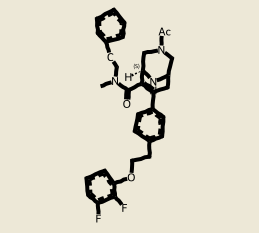 CC(=O)N1CC2CC(c3ccc(CCOc4cccc(F)c4F)cc3)=C(C(=O)N(C)CCc3ccccc3)[C@@H](C1)N2